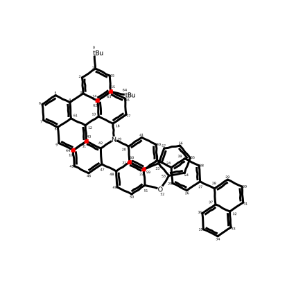 CC(C)(C)c1cc(-c2cccc3cccc(-c4ccccc4N(c4ccc(-c5ccc(-c6cccc7ccccc67)cc5)cc4)c4ccccc4-c4ccc5oc6ccccc6c5c4)c23)cc(C(C)(C)C)c1